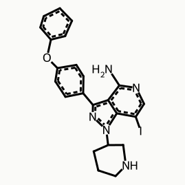 Nc1ncc(I)c2c1c(-c1ccc(Oc3ccccc3)cc1)nn2C1CCCNC1